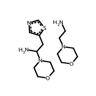 NC(Cc1cncs1)N1CCOCC1.NCCN1CCOCC1